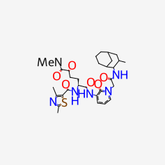 CNC(=O)C(=O)CC[C@H](NC(=O)c1sc(C)nc1C)C(=O)Nc1cccn(CC(=O)NC2C(C)CC3CCCC2C3)c1=O